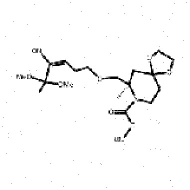 COC(C)(OC)/C(=C\CCOC[C@@]1(C)CC2(CCN1C(=O)OC(C)(C)C)OCCO2)N=O